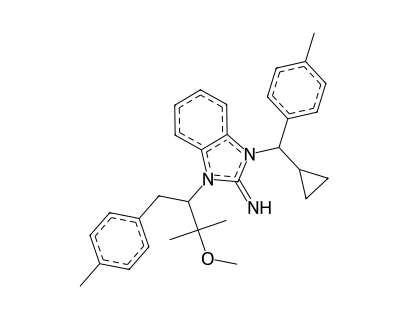 COC(C)(C)C(Cc1ccc(C)cc1)n1c(=N)n(C(c2ccc(C)cc2)C2CC2)c2ccccc21